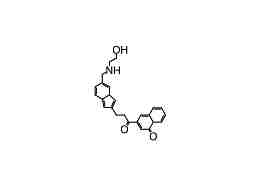 O=C(CCC1=CC2C=C(CNCCO)C=CC2=C1)C1=CC(=O)C2C=CC=CC2=C1